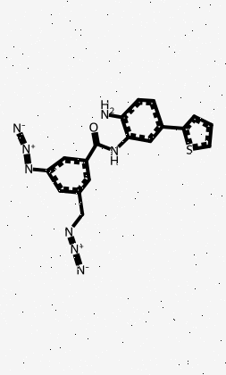 [N-]=[N+]=NCc1cc(N=[N+]=[N-])cc(C(=O)Nc2cc(-c3cccs3)ccc2N)c1